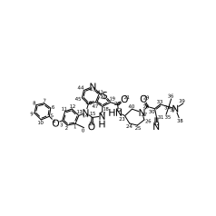 Cc1cc(Oc2ccccc2)ccc1N1C(=O)Nc2c(C(=O)NC3CCCN(C(=O)C(C#N)=CC(C)(C)N(C)C)C3)sc3nccc1c23